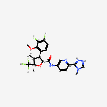 COc1c([C@H]2[C@H](C(=O)Nc3ccc(-c4nncn4C)nc3)O[C@@](C)(C(F)(F)F)[C@H]2C)ccc(F)c1F